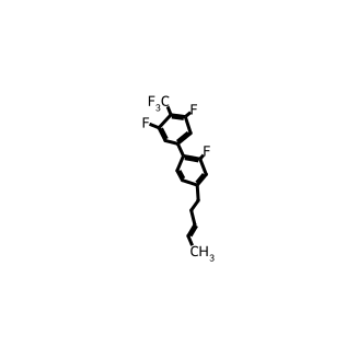 C/C=C/CCc1ccc(-c2cc(F)c(C(F)(F)F)c(F)c2)c(F)c1